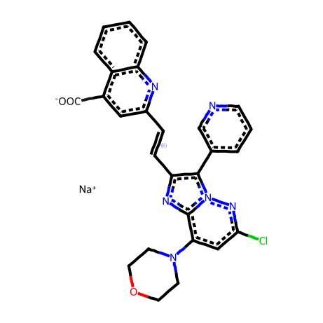 O=C([O-])c1cc(/C=C/c2nc3c(N4CCOCC4)cc(Cl)nn3c2-c2cccnc2)nc2ccccc12.[Na+]